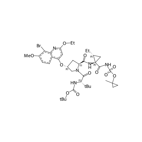 CCOc1cc(O[C@@H]2C[C@@H](C(=O)N[C@]3(C(=O)NS(=O)(=O)OC4(C)CC4)C[C@H]3CC)N(C(=O)[C@@H](NC(=O)OC(C)(C)C)C(C)(C)C)C2)c2ccc(OC)c(Br)c2n1